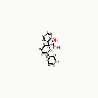 OB(O)C1(c2ccccc2)C=CC=C(c2ccccc2)C1